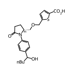 CCCCC(O)c1ccc(N2C(=O)CC[C@@H]2COCc2ccc(C(=O)O)s2)cc1